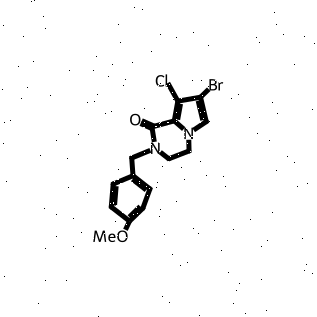 COc1ccc(CN2CCn3cc(Br)c(Cl)c3C2=O)cc1